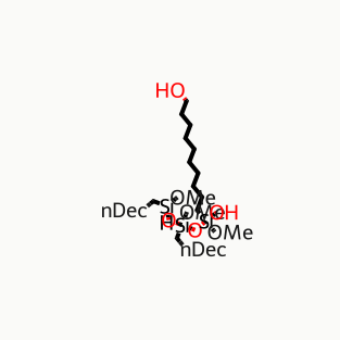 CCCCCCCCCCC[SiH](OC)O[Si](CCCCCCCCCCC)(OC)O[Si](O)(CCCCCCCCCCO)OC